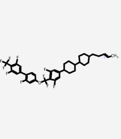 C/C=C/CCC1CCC(C2CCC(c3cc(F)c(C(F)(F)Oc4ccc(-c5cc(F)c(C(F)(F)F)c(F)c5)c(F)c4)c(F)c3)CC2)CC1